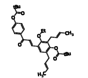 C/C=C/Cc1cc(/C=C/C(=O)c2ccc(OC(=O)C(C)(C)C)cc2)c(OCC)c(C/C=C/C)c1OC(=O)C(C)(C)C